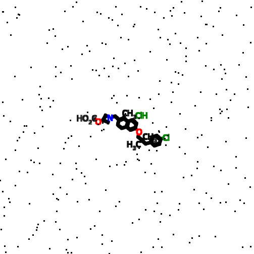 CC1=C(CN2CC(OC(=O)O)C2)CCc2cc(OCC(C)(C)Cc3ccc(Cl)cc3)ccc21.Cl